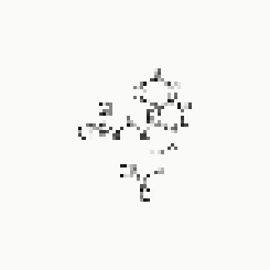 ClC(Cl)CCCc1ccc2ccccc2c1CCCC(Cl)Cl